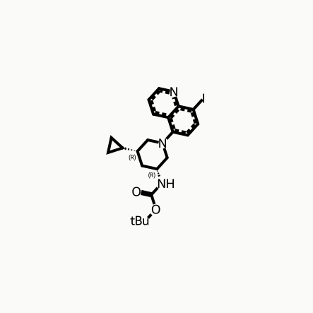 CC(C)(C)OC(=O)N[C@@H]1C[C@H](C2CC2)CN(c2ccc(I)c3ncccc23)C1